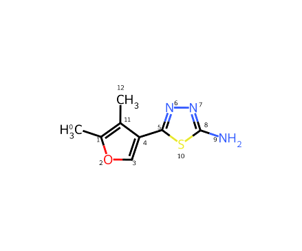 Cc1occ(-c2nnc(N)s2)c1C